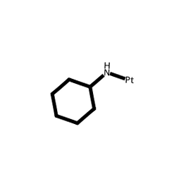 [Pt][NH]C1CCCCC1